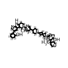 C[C@@H]1c2c([nH]c3nnc(-c4ccccc4O)cc23)CCN1c1ncc(C2CCN(C3CC4(C3)CN(C(=O)NC(C(=O)O)C3(C)CCOCC3)C4)CC2)cn1